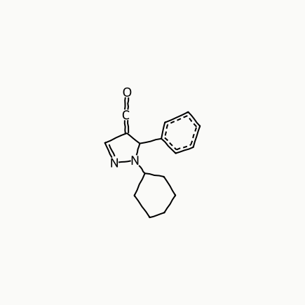 O=C=C1C=NN(C2CCCCC2)C1c1ccccc1